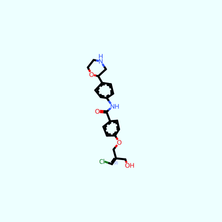 O=C(Nc1ccc(C2CNCCO2)cc1)c1ccc(OC/C(=C\Cl)CO)cc1